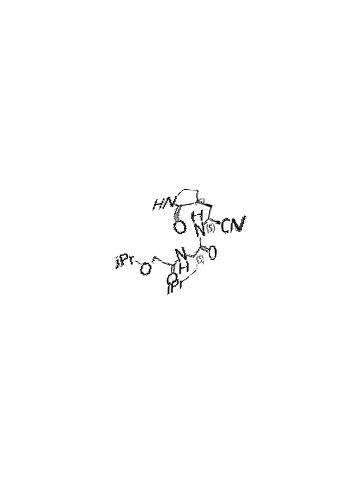 CC(C)C[C@H](NC(=O)COC(C)C)C(=O)N[C@H](C#N)C[C@@H]1CCNC1=O